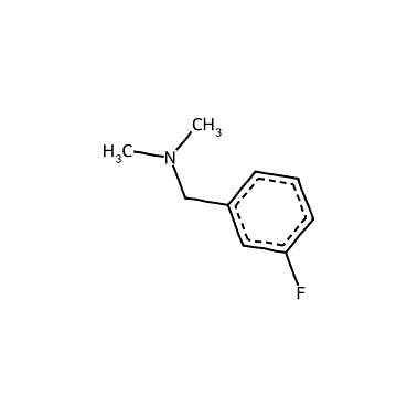 CN(C)Cc1cccc(F)c1